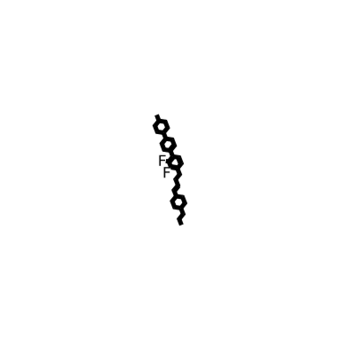 CCCC1CCC(/C=C/CCc2ccc(C3=CCC(C4CCC(C)CC4)CC3)c(F)c2F)CC1